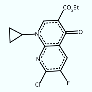 CCOC(=O)c1cn(C2CC2)c2nc(Cl)c(F)cc2c1=O